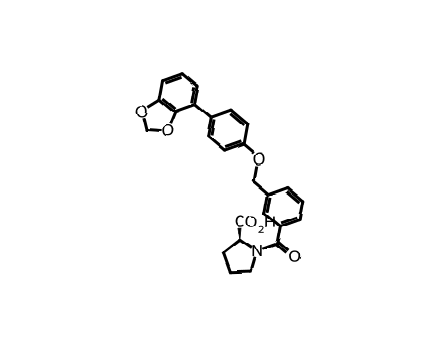 O=C(O)[C@@H]1CCCN1C(=O)c1cccc(COc2ccc(-c3cccc4c3OCO4)cc2)c1